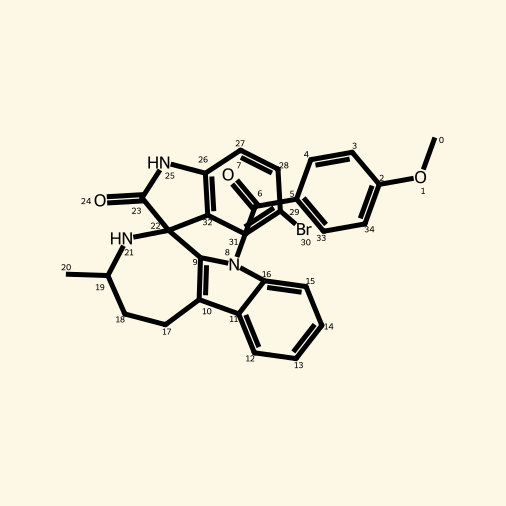 COc1ccc(C(=O)n2c3c(c4ccccc42)CCC(C)NC32C(=O)Nc3ccc(Br)cc32)cc1